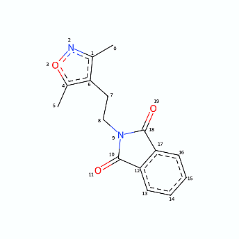 Cc1noc(C)c1CCN1C(=O)c2ccccc2C1=O